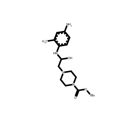 Cc1cc(N)ccc1NC(O)CN1CCN(C(=O)OC(C)(C)C)CC1